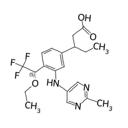 CCO[C@@H](c1ccc(C(CC)CC(=O)O)cc1Nc1cnc(C)nc1)C(F)(F)F